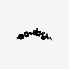 CC(=O)N1CC[C@@H]1C(=O)N1CCC2(CC1)C[C@H](CCN1CCN(c3ccc(F)cc3)CC1)OC2=O